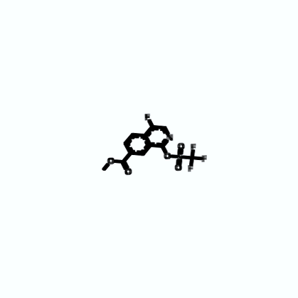 COC(=O)c1ccc2c(F)cnc(OS(=O)(=O)C(F)(F)F)c2c1